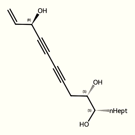 C=C[C@@H](O)C#CC#CC[C@H](O)[C@@H](O)CCCCCCC